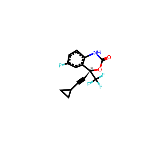 O=C1Nc2ccc(F)cc2[C@@](C#CC2CC2)(C(F)(F)F)O1